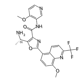 COc1ccncc1NC(=O)c1nc(-c2ccc(OC)c3nc(C(F)(F)F)ccc23)oc1[C@H](C)N